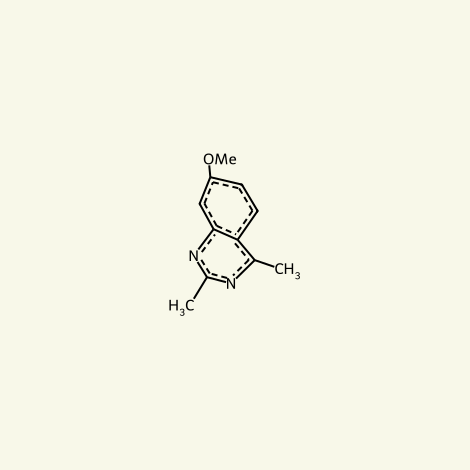 COc1ccc2c(C)nc(C)nc2c1